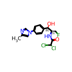 Cc1cn(-c2ccc([C@@H](O)[C@@H](CF)NC(=O)C(Cl)Cl)cc2)cn1